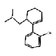 CN(C)CC1CCCC=C1c1ccccc1O